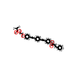 C=C(C)C(=O)OCCOc1ccc(C#Cc2ccc(C#Cc3ccc(OC(=O)/C=C/c4ccccc4)cc3)cc2)cc1